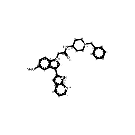 COc1ccc2c(c1)c(-c1cc3cccnc3[nH]1)cn2CC(=O)NC1CCN(Cc2ccccc2)CC1